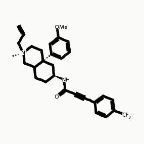 C=CC[N@@+]1(C)CC[C@@]2(c3cccc(OC)c3)C[C@@H](NC(=O)C#Cc3ccc(C(F)(F)F)cc3)CCC2C1